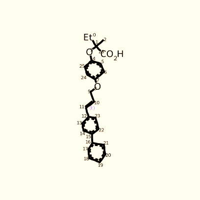 CCC(C)(Oc1ccc(OC/C=C/c2ccc(-c3ccccc3)cc2)cc1)C(=O)O